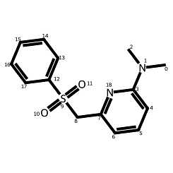 CN(C)c1cccc(CS(=O)(=O)c2ccccc2)n1